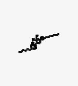 CCCCCCCCOc1ccc(-c2ncc(CCCCCC)cn2)c(F)c1F